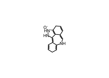 [O-][NH+]1NC2=C3C=CCC=C3NC=C3C=CCC1=C32